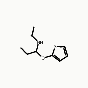 C[CH]NC(CC)Oc1cccs1